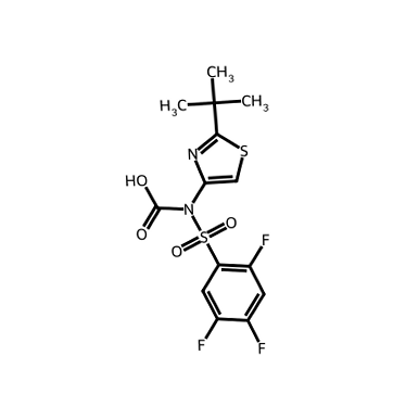 CC(C)(C)c1nc(N(C(=O)O)S(=O)(=O)c2cc(F)c(F)cc2F)cs1